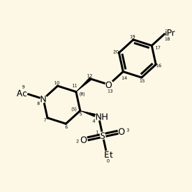 CCS(=O)(=O)N[C@H]1CCN(C(C)=O)C[C@H]1COc1ccc(C(C)C)cc1